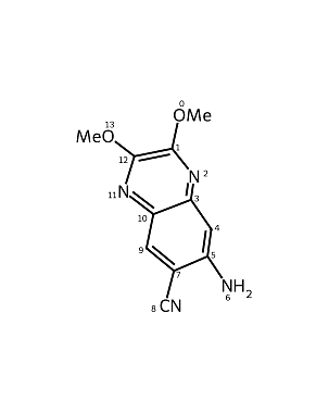 COc1nc2cc(N)c(C#N)cc2nc1OC